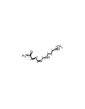 CNCCCNC/N=C\N=C\C(N)=O